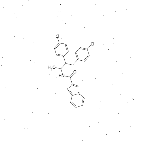 CC(NC(=O)c1cn2ccccc2n1)C(Cc1ccc(Cl)cc1)c1ccc(Cl)cc1